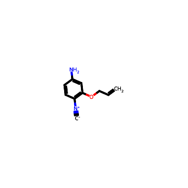 [C-]#[N+]c1ccc(N)cc1OCC=C